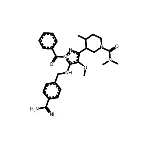 COc1c(C2CN(C(=O)N(C)C)CCC2C)nn(C(=O)c2ccccc2)c1NCc1ccc(C(=N)N)cc1